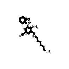 CCCCCCCNCc1cc(C#N)cc(-n2nnc3ccccc32)c1N